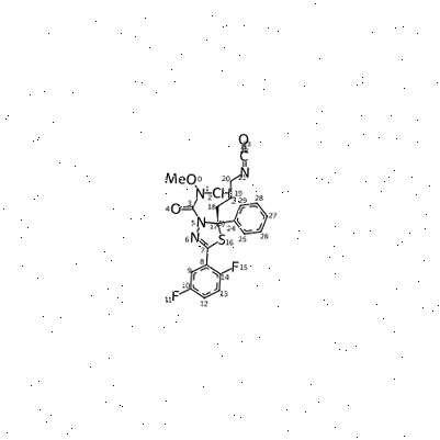 CON(C)C(=O)N1N=C(c2cc(F)ccc2F)S[C@@]1(CCCN=C=O)c1ccccc1